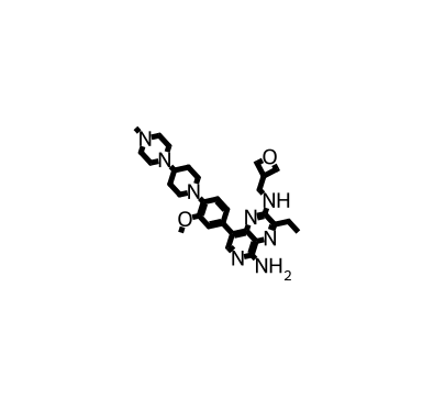 CCc1nc2c(N)ncc(-c3ccc(N4CCC(N5CCN(C)CC5)CC4)c(OC)c3)c2nc1NCC1COC1